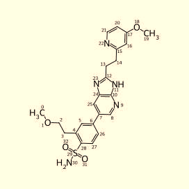 COCCc1cc(-c2cnc3[nH]c(CCc4cc(OC)ccn4)nc3c2)ccc1S(N)(=O)=O